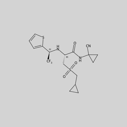 N#CC1(NC(=O)[C@H](CS(=O)(=O)CC2CC2)N[C@H](c2cccs2)C(F)(F)F)CC1